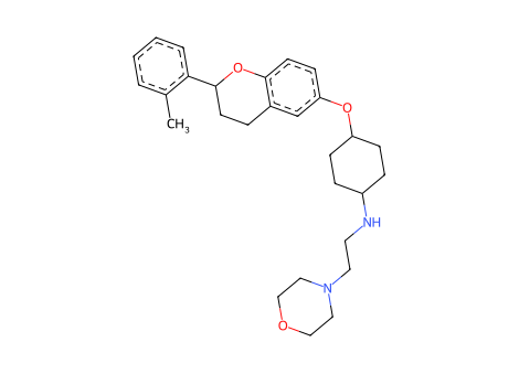 Cc1ccccc1C1CCc2cc(OC3CCC(NCCN4CCOCC4)CC3)ccc2O1